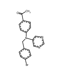 CC(=O)c1ccc(N(Cc2ccc(Br)cc2)c2cncnc2)cc1